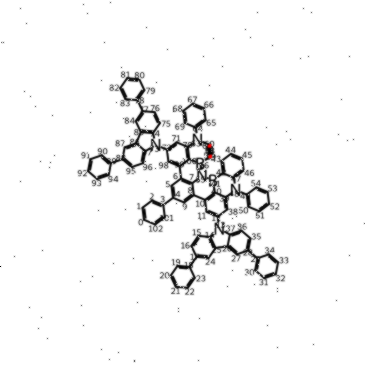 c1ccc(-c2cc3c4c(c2)-c2cc(-n5c6ccc(-c7ccccc7)cc6c6cc(-c7ccccc7)ccc65)cc5c2B(c2ccccc2N5c2ccccc2)N4B2c4ccccc4N(c4ccccc4)c4cc(-n5c6ccc(-c7ccccc7)cc6c6cc(-c7ccccc7)ccc65)cc-3c42)cc1